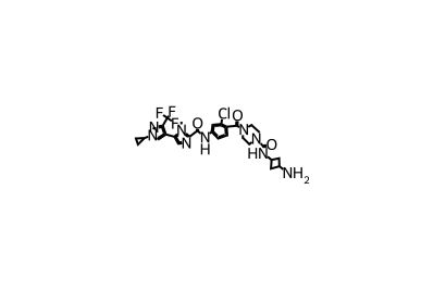 Cn1c(-c2cn(C3CC3)nc2C(F)(F)F)cnc1C(=O)Nc1ccc(C(=O)N2CCN(C(=O)NC3CC(N)C3)CC2)c(Cl)c1